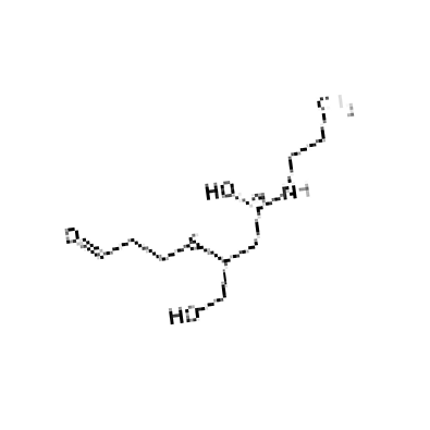 CCCN[C@@H](O)CC(CO)SCCC=O